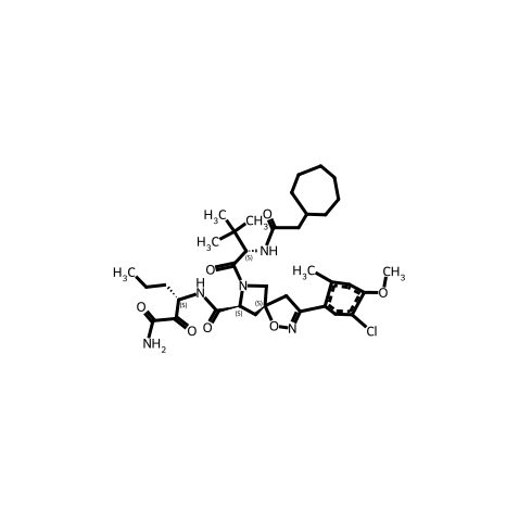 CCC[C@H](NC(=O)[C@@H]1C[C@]2(CC(c3cc(Cl)c(OC)cc3C)=NO2)CN1C(=O)[C@@H](NC(=O)CC1CCCCCC1)C(C)(C)C)C(=O)C(N)=O